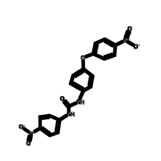 O=C(Nc1ccc(Oc2ccc([N+](=O)[O-])cc2)cc1)Nc1ccc([N+](=O)[O-])cc1